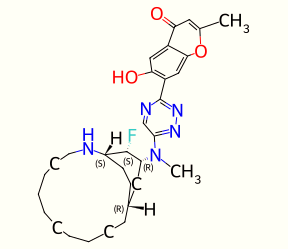 Cc1cc(=O)c2cc(O)c(-c3ncc(N(C)[C@@H]4C[C@@H]5CCCCCCCCCCN[C@@H](CC5)[C@@H]4F)nn3)cc2o1